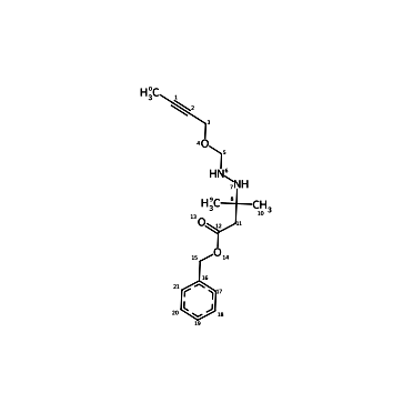 CC#CCOCNNC(C)(C)CC(=O)OCc1ccccc1